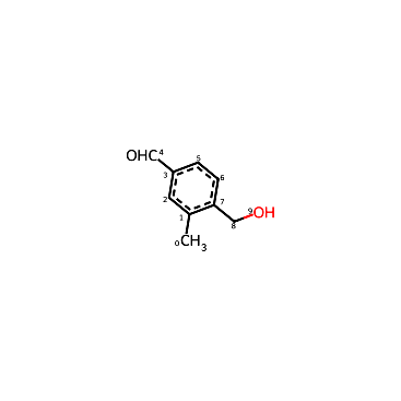 Cc1cc(C=O)ccc1CO